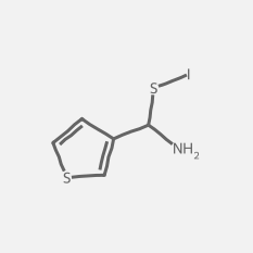 NC(SI)c1ccsc1